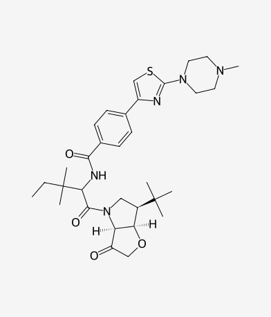 CCC(C)(C)C(NC(=O)c1ccc(-c2csc(N3CCN(C)CC3)n2)cc1)C(=O)N1C[C@@H](C(C)(C)C)[C@H]2OCC(=O)[C@H]21